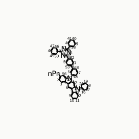 CCCc1ccc2c3cc4c5ccccc5n(-c5ccccc5)c4cc3n(-c3cccc(-c4ccc(-c5nc(-c6ccccc6)nc(-c6ccccc6)n5)cc4)c3)c2c1